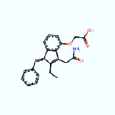 CCC1=C(CC(N)=O)c2c(OCC(=O)O)cccc2C1=Cc1ccccc1